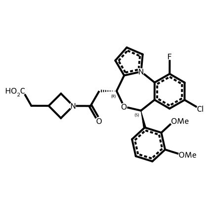 COc1cccc([C@H]2O[C@H](CC(=O)N3CC(CC(=O)O)C3)c3cccn3-c3c(F)cc(Cl)cc32)c1OC